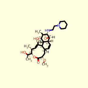 CO[C@H]1C[C@H]2C=C[C@H]3[C@H]4O[C@]2(/C(C)=C/[C@@H](C)[C@@H]([C@@H](C)O)OC1=O)[C@@H]3[C@H](O)C(C)[C@@H]4NCCN1CCCCC1